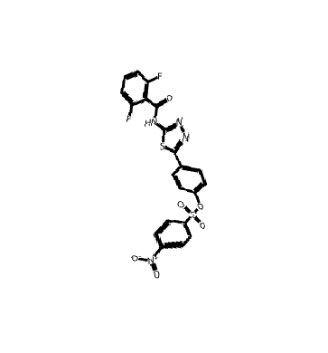 O=C(Nc1nnc(-c2ccc(OS(=O)(=O)c3ccc([N+](=O)[O-])cc3)cc2)s1)c1c(F)cccc1F